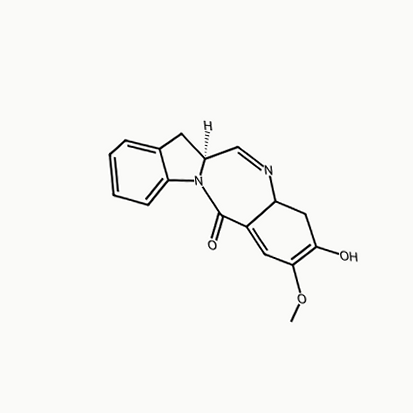 COC1=C(O)CC2N=C[C@@H]3Cc4ccccc4N3C(=O)C2=C1